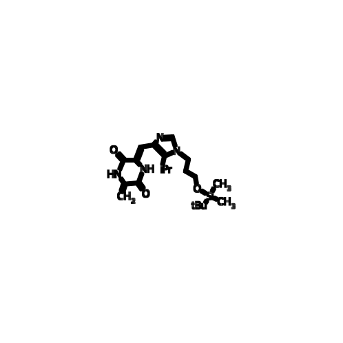 C=c1[nH]c(=O)c(=Cc2ncn(CCCO[Si](C)(C)C(C)(C)C)c2C(C)C)[nH]c1=O